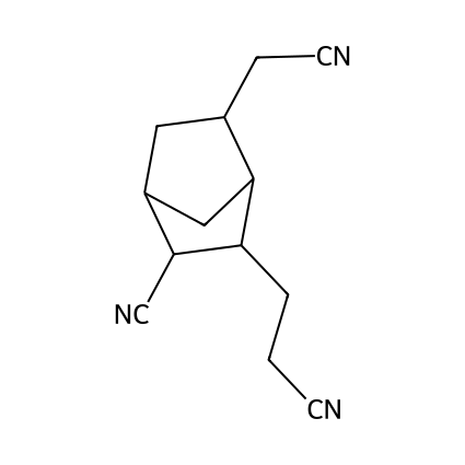 N#CCCC1C(C#N)C2CC(CC#N)C1C2